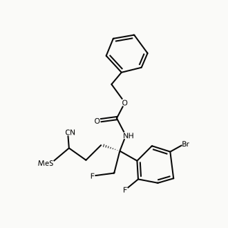 CSC(C#N)CC[C@](CF)(NC(=O)OCc1ccccc1)c1cc(Br)ccc1F